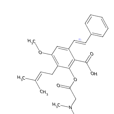 COc1cc(/C=C/c2ccccc2)c(C(=O)O)c(OC(=O)CN(C)C)c1CC=C(C)C